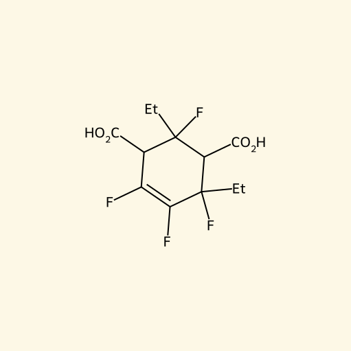 CCC1(F)C(F)=C(F)C(C(=O)O)C(F)(CC)C1C(=O)O